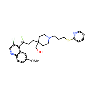 COc1ccc2ncc(Cl)c([C@@H](F)CCC3(CO)CCN(CCCSc4ccccn4)CC3)c2c1